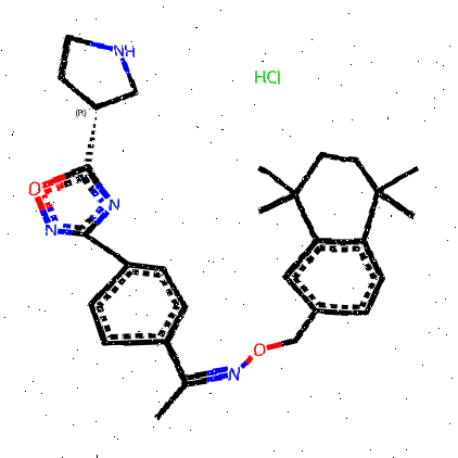 CC(=NOCc1ccc2c(c1)C(C)(C)CCC2(C)C)c1ccc(-c2noc([C@@H]3CCNC3)n2)cc1.Cl